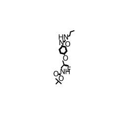 CCCNc1nc2ccc(OCC(=CF)CNC(=O)OC(C)(C)C)cc2o1